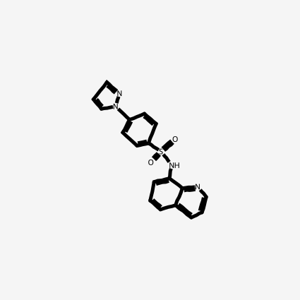 O=S(=O)(Nc1cccc2cccnc12)c1ccc(-n2cccn2)cc1